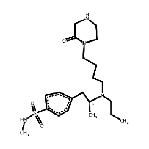 CCCN(CCCCN1CCNCC1=O)[C@@H](C)Cc1ccc(S(=O)(=O)NC)cc1